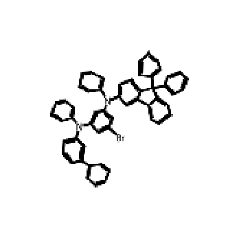 Brc1cc(N(c2ccccc2)c2cccc(-c3ccccc3)c2)cc(N(c2ccccc2)c2ccc3c(c2)-c2ccccc2C3(c2ccccc2)c2ccccc2)c1